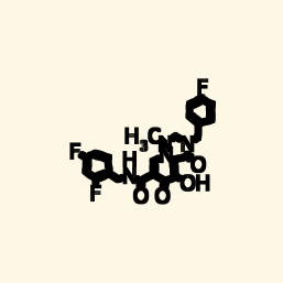 CN1CN(Cc2ccc(F)cc2)C(=O)c2c(O)c(=O)c(C(=O)NCc3ccc(F)cc3F)cn21